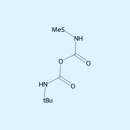 CSNC(=O)OC(=O)NC(C)(C)C